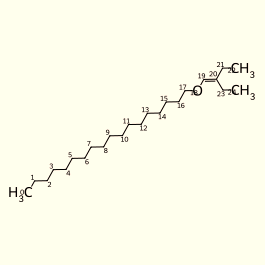 CCCCCCCCCCCCCCCCCCOC=C(CC)CC